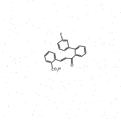 O=C(O)c1ccccc1/C=C/C(=O)c1ccccc1-c1cccc(F)c1